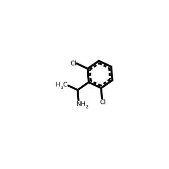 CC(N)c1c(Cl)cccc1Cl